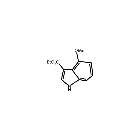 CCOC(=O)c1c[nH]c2cccc(OC)c12